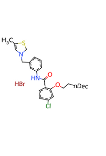 Br.CCCCCCCCCCCCOc1cc(Cl)ccc1C(=O)Nc1cccc(CN2C=C(C)SC2)c1